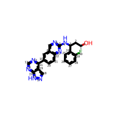 OCCC(Nc1ncc2cc(-c3ncnc4[nH]ncc34)ccc2n1)c1ccccc1F